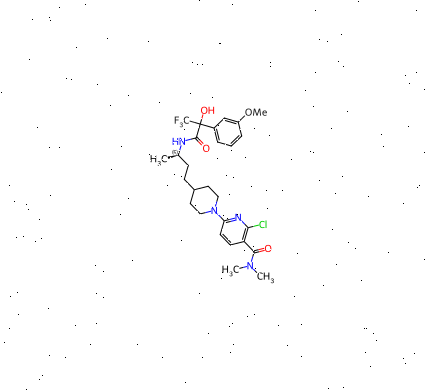 COc1cccc(C(O)(C(=O)N[C@H](C)CCC2CCN(c3ccc(C(=O)N(C)C)c(Cl)n3)CC2)C(F)(F)F)c1